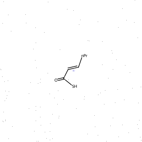 CCC/C=C/C(=O)S